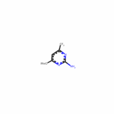 COc1cc(C(F)(F)F)nc(N)n1